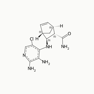 NC(=O)[C@@H]1[C@@H](Nc2c(Cl)cnc(N)c2N)[C@@H]2C=C[C@@H]1C2